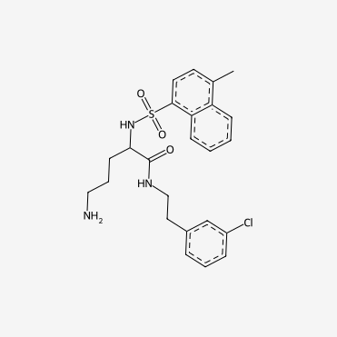 Cc1ccc(S(=O)(=O)NC(CCCN)C(=O)NCCc2cccc(Cl)c2)c2ccccc12